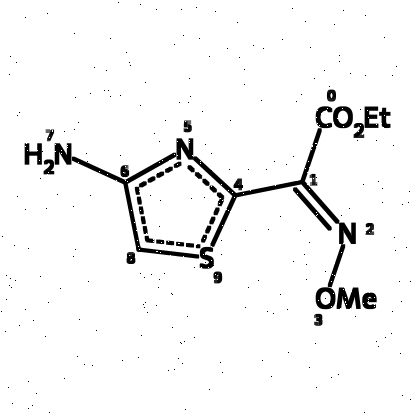 CCOC(=O)/C(=N/OC)c1nc(N)cs1